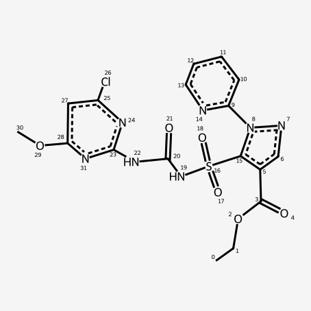 CCOC(=O)c1cnn(-c2ccccn2)c1S(=O)(=O)NC(=O)Nc1nc(Cl)cc(OC)n1